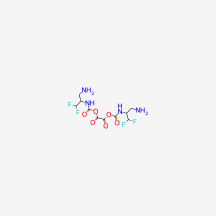 NCC(NC(=O)OC(=O)C(=O)OC(=O)NC(CN)C(F)F)C(F)F